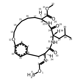 BOC=N[C@H]1Cc2ccc(cc2)OCCCCC[C@@H](C(=O)OC)NC(=O)[C@H](CC(C)C)NC1=O